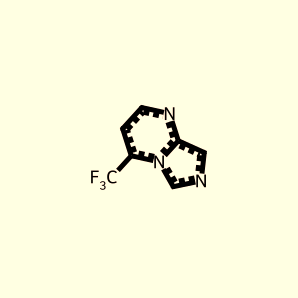 FC(F)(F)c1ccnc2cncn12